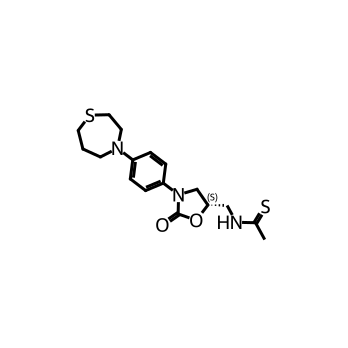 CC(=S)NC[C@H]1CN(c2ccc(N3CCCSCC3)cc2)C(=O)O1